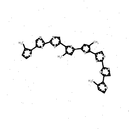 Cc1ccsc1-c1cnc(-c2ncc(-c3sc(-c4cc(C)c(-c5cnc(-c6ncc(-c7sccc7C)s6)s5)s4)cc3C)s2)s1